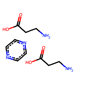 NCCC(=O)O.NCCC(=O)O.c1cnccn1